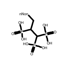 CCCCCCCCCCC(C(P(=O)(O)O)P(=O)(O)O)P(=O)(O)O